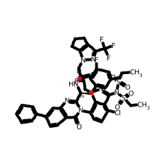 CCS(=O)(=O)N(c1nn(CC(F)(F)F)c2c(-n3c([C@H](Cc4cc(F)cc(F)c4)NC(=O)Cn4nc(C(F)(F)F)c5c4CCC5)nc4cc(-c5ccccc5)ccc4c3=O)ccc(Cl)c12)S(=O)(=O)CC